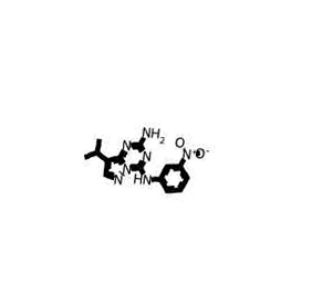 CC(C)c1cnn2c(Nc3cccc([N+](=O)[O-])c3)nc(N)nc12